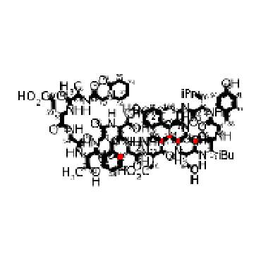 CC[C@H](C)[C@H](NC(=O)[C@H](CO)NC(=O)[C@H](Cc1ccc(O)cc1)NC(=O)[C@H](CC(=O)O)NC(=O)[C@H](CO)NC(=O)[C@@H](NC(=O)[C@H](Cc1ccccc1)NC(=O)[C@@H](NC(=O)CNC(=O)[C@H](CCC(=O)O)NC(=O)[C@@H](C)NC(=O)CN1CCCCC1=O)[C@@H](C)O)[C@@H](C)O)C(=O)N[C@@H](Cc1ccc(O)cc1)C(=O)N[C@@H](CC(C)C)C(=O)N[C@@H](CC(=O)O)C(=O)N[C@H](C)CCCCN